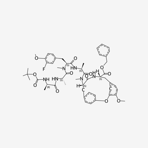 COc1ccc(C[C@@H](C(=O)N[C@@H](C)C(=O)N(C)[C@H]2Cc3ccc(cc3)Oc3cc(ccc3OC)C[C@@H](C(=O)OCc3ccccc3)NC2=O)N(C)C(=O)[C@H](C)NC(=O)[C@@H](C)NC(=O)OC(C)(C)C)cc1F